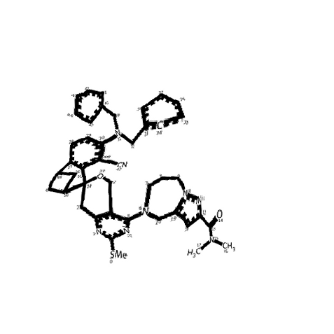 CSc1nc2c(c(N3CCCn4nc(C(=O)N(C)C)cc4C3)n1)COC1(C2)c2c(ccc(N(Cc3ccccc3)Cc3ccccc3)c2C#N)C2CC1C2